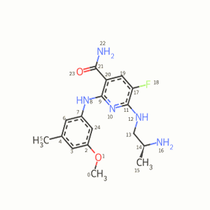 COc1cc(C)cc(Nc2nc(NC[C@H](C)N)c(F)cc2C(N)=O)c1